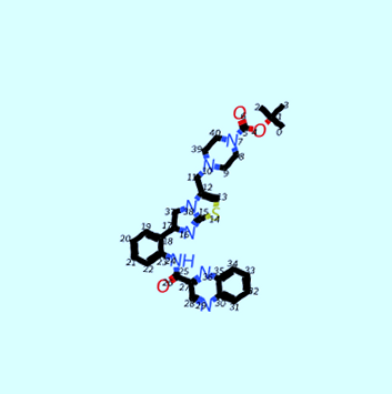 CC(C)(C)OC(=O)N1CCN(CC2=CSC3=NC(c4ccccc4NC(=O)c4cnc5ccccc5n4)CN23)CC1